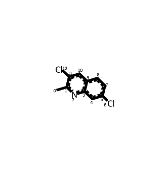 Cc1nc2cc(Cl)ccc2cc1Cl